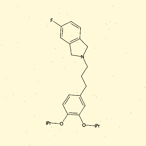 CC(C)Oc1ccc(CCCN2Cc3ccc(F)cc3C2)cc1OC(C)C